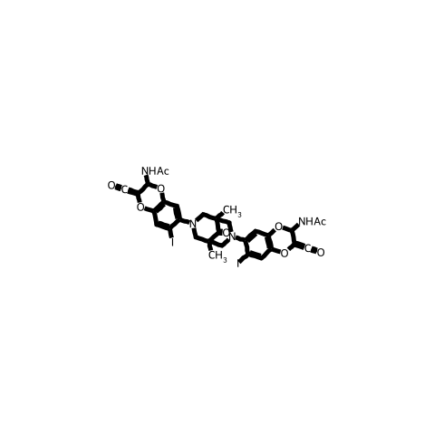 CC(=O)NC1Oc2cc(N3CC4(C)CN(c5cc6c(cc5I)OC(=C=O)C(NC(C)=O)O6)CC(C)(C3)C4=O)c(I)cc2OC1=C=O